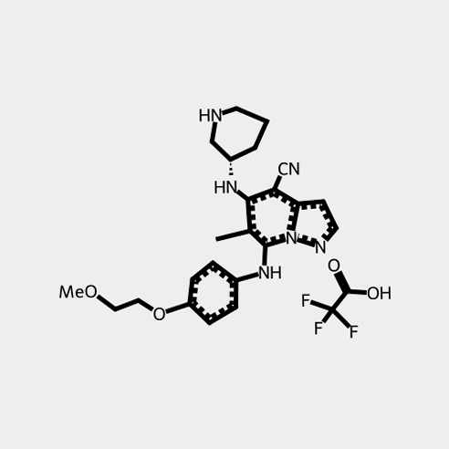 COCCOc1ccc(Nc2c(C)c(N[C@H]3CCCNC3)c(C#N)c3ccnn23)cc1.O=C(O)C(F)(F)F